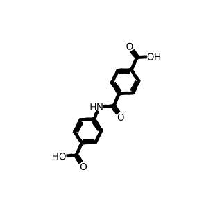 O=C(O)c1ccc(NC(=O)c2ccc(C(=O)O)cc2)cc1